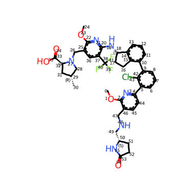 COc1nc(-c2cccc(-c3cccc4c3CC[C@@H]4Nc3nc(OC)c(CN4C[C@H](C)C[C@H]4C(=O)O)cc3C(F)(F)F)c2Cl)ccc1CNC[C@@H]1CCC(=O)N1